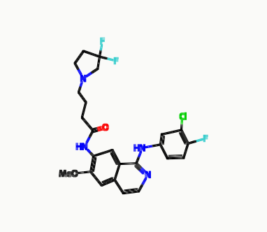 COc1cc2ccnc(Nc3ccc(F)c(Cl)c3)c2cc1NC(=O)CCCN1CCC(F)(F)C1